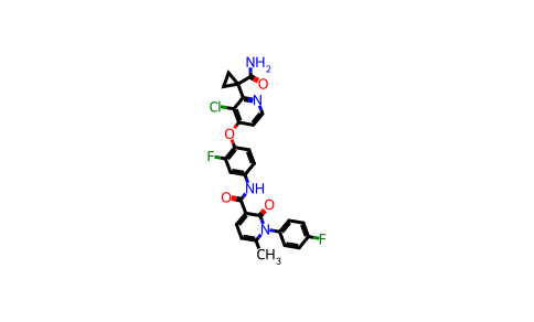 Cc1ccc(C(=O)Nc2ccc(Oc3ccnc(C4(C(N)=O)CC4)c3Cl)c(F)c2)c(=O)n1-c1ccc(F)cc1